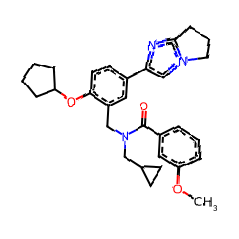 COc1cccc(C(=O)N(Cc2cc(-c3cn4c(n3)CCC4)ccc2OC2CCCC2)CC2CC2)c1